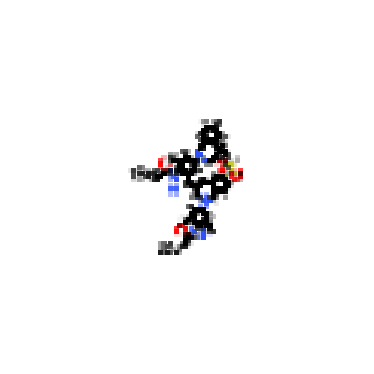 Cc1cc(N2Cc3ccc(S(C)(=O)=O)cc3CC(Cc3cc(N4CCC(C)(C)c5ccccc5C4)cc(C)c3NC(=O)CC(C)(C)C)C2)cc(C)c1NC(=O)CC(C)(C)C